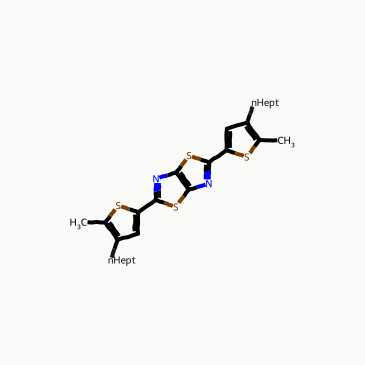 CCCCCCCc1cc(-c2nc3sc(-c4cc(CCCCCCC)c(C)s4)nc3s2)sc1C